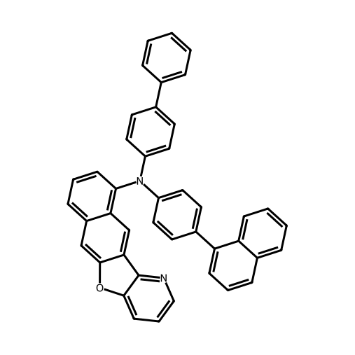 c1ccc(-c2ccc(N(c3ccc(-c4cccc5ccccc45)cc3)c3cccc4cc5oc6cccnc6c5cc34)cc2)cc1